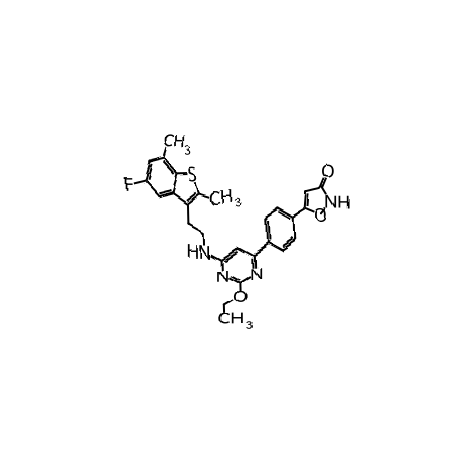 CCOc1nc(NCCc2c(C)sc3c(C)cc(F)cc23)cc(-c2ccc(-c3cc(=O)[nH]o3)cc2)n1